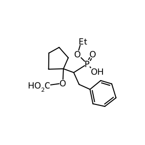 CCOP(=O)(O)C(Cc1ccccc1)C1(OC(=O)O)CCCC1